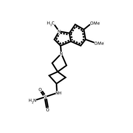 COc1cc2c(N3CC4(CC(NS(N)(=O)=O)C4)C3)cn(C)c2cc1OC